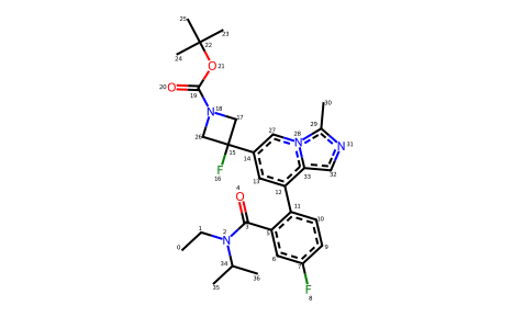 CCN(C(=O)c1cc(F)ccc1-c1cc(C2(F)CN(C(=O)OC(C)(C)C)C2)cn2c(C)ncc12)C(C)C